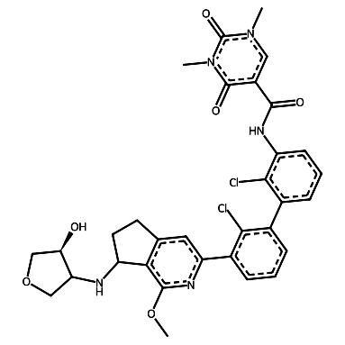 COc1nc(-c2cccc(-c3cccc(NC(=O)c4cn(C)c(=O)n(C)c4=O)c3Cl)c2Cl)cc2c1C(NC1COC[C@H]1O)CC2